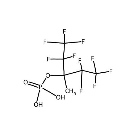 CC(OP(=O)(O)O)(C(F)(F)C(F)(F)F)C(F)(F)C(F)(F)F